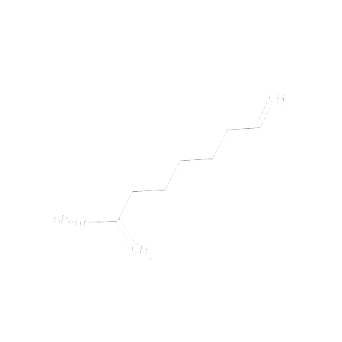 C=CCCCCCC(=C)CCCCC